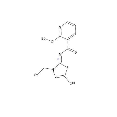 CCOc1ncccc1C(=S)/N=c1\sc(C(C)(C)C)cn1CC(C)C